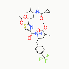 COC(=O)C(C)CC(Cc1ccc(C(F)(F)F)cc1)NC(=O)c1csc(C(CC(C(C)C)N(C)C(=O)C2CC2)OC(C)=O)n1